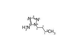 CCCCn1ncnc1N